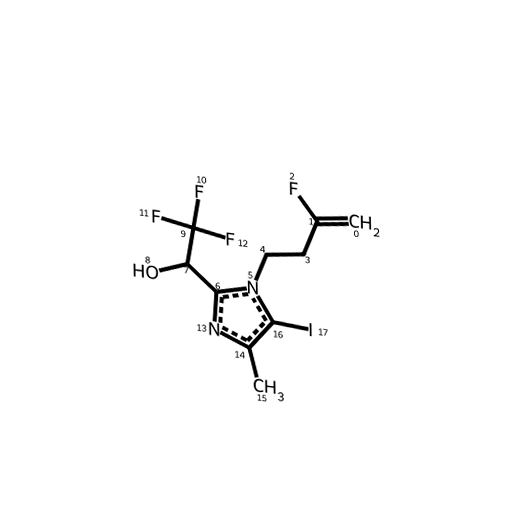 C=C(F)CCn1c(C(O)C(F)(F)F)nc(C)c1I